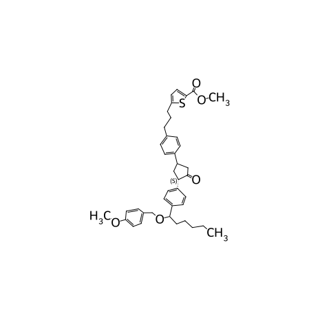 CCCCCC(OCc1ccc(OC)cc1)c1ccc([C@@H]2CC(c3ccc(CCCc4ccc(C(=O)OC)s4)cc3)CC2=O)cc1